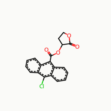 O=C(OC1CCOC1=O)c1c2ccccc2c(Cl)c2ccccc12